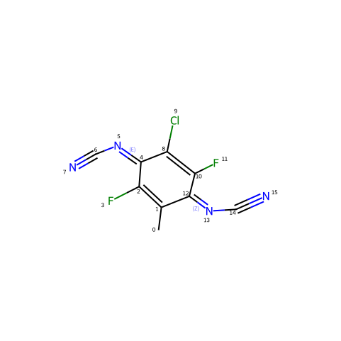 CC1=C(F)C(=N\C#N)/C(Cl)=C(F)C/1=N\C#N